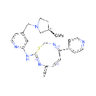 C=C1/C=C\C(c2ccncc2)=N/CS/C(Nc2cc(CN3CC[C@@H](OC)C3)ccn2)=N\1